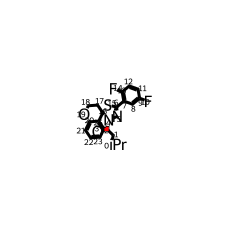 CC(C)CC(=O)N1N=C(c2cc(F)ccc2F)SC12CCOc1ccccc12